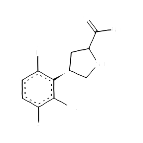 NC(=O)C1C[C@H](c2c(F)ccc(F)c2F)CN1